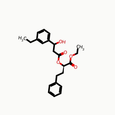 CCOC(=O)[C@@H](CCc1ccccc1)OC(=O)CC(O)c1cccc(CC)c1